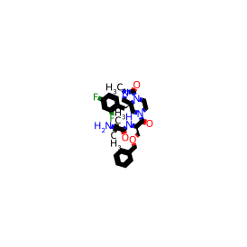 CN1C[C@]2(Cc3ccc(F)cc3F)CN(C(=O)[C@@H](COCc3ccccc3)NC(=O)C(C)(C)N)CCN2C1=O